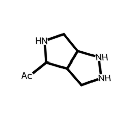 CC(=O)C1NCC2NNCC21